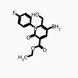 Bc1cc(C(=O)OCC)c(=O)n(-c2ccc(F)cc2)c1CO